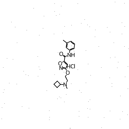 Cc1cccc(NC(=O)c2cc(OCCN(C)C3CCC3)no2)c1.Cl